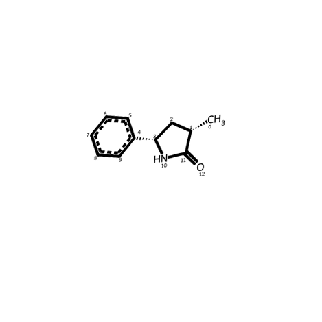 C[C@H]1C[C@@H](c2ccccc2)NC1=O